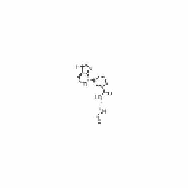 O=CNCCNC(=O)C1=CN(c2ncnc3[nH]cnc23)CCS1